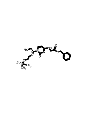 CC(C)(C)[Si](C)(C)OCCO[C@@H](CS)n1ccc(NCC(=O)OCc2ccccc2)nc1=O